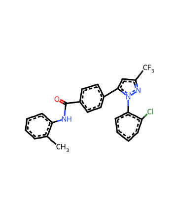 Cc1ccccc1NC(=O)c1ccc(-c2cc(C(F)(F)F)nn2-c2ccccc2Cl)cc1